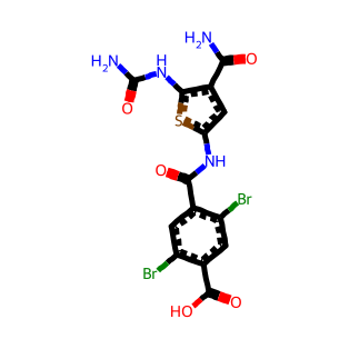 NC(=O)Nc1sc(NC(=O)c2cc(Br)c(C(=O)O)cc2Br)cc1C(N)=O